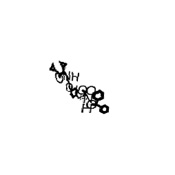 O=C(c1ccccc1)c1ccccc1N[C@@H](Cc1ccc(OCCNC(C(=O)C2CC2)C2CC2)cc1)C(=O)O